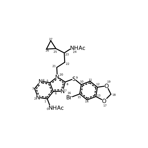 CC(=O)Nc1ncnc2c1nc(Sc1cc3c(cc1Br)OCO3)n2CCC(NC(C)=O)C1CC1